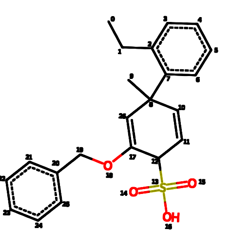 CCc1ccccc1C1(C)C=CC(S(=O)(=O)O)C(OCc2ccccc2)=C1